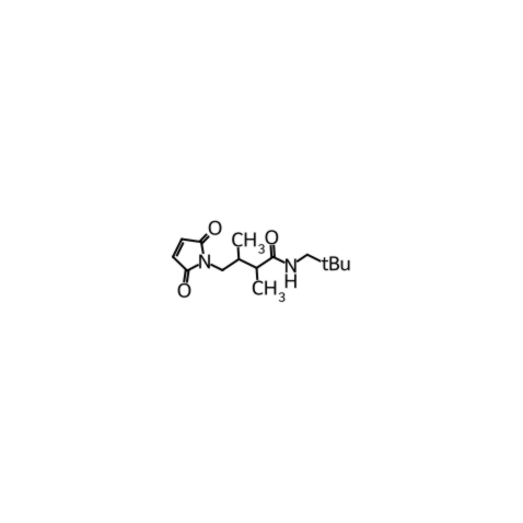 CC(CN1C(=O)C=CC1=O)C(C)C(=O)NCC(C)(C)C